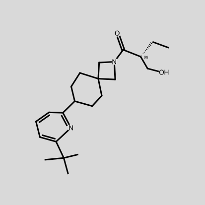 CC[C@H](CO)C(=O)N1CC2(CCC(c3cccc(C(C)(C)C)n3)CC2)C1